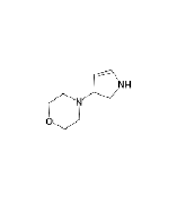 C1=CC(N2CCOCC2)CN1